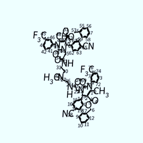 CC1=C(C(=O)OCc2ccccc2)[C@@H](c2ccc(C#N)cc2)N(CC(=O)NCCN(C)CCNC(=O)CN2C(=O)N(c3cccc(C(F)(F)F)c3)C(C)=C(C(=O)OCc3ccccc3)[C@H]2c2ccc(C#N)cc2)C(=O)N1c1cccc(C(F)(F)F)c1